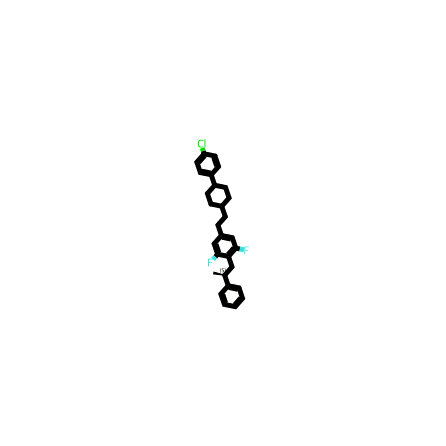 C[C@@H](Cc1c(F)cc(CCC2CCC(c3ccc(Cl)cc3)CC2)cc1F)c1ccccc1